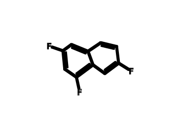 Fc1cc(F)c2cc(F)ccc2c1